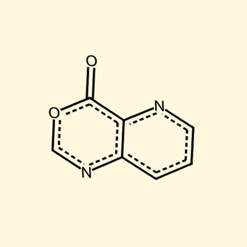 O=c1ocnc2cccnc12